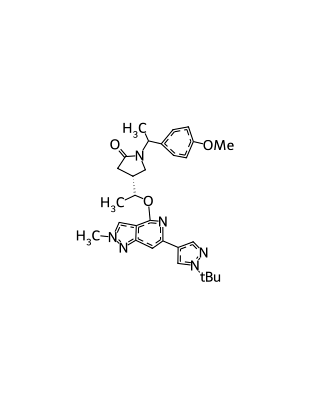 COc1ccc(C(C)N2C[C@H](C(C)Oc3nc(-c4cnn(C(C)(C)C)c4)cc4nn(C)cc34)CC2=O)cc1